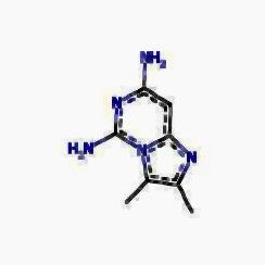 Cc1nc2cc(N)nc(N)n2c1C